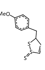 COc1ccc(CC2C=CS(=S)S2)cc1